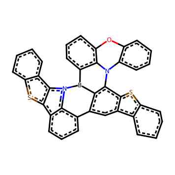 c1ccc2c(c1)Oc1cccc3c1N2c1c2c(cc4c1sc1ccccc14)-c1cccc4c5sc6ccccc6c5n(c14)B32